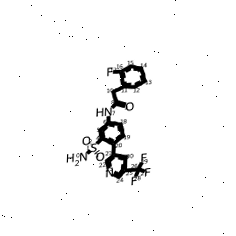 NS(=O)(=O)c1cc(NC(=O)Cc2ccccc2F)ccc1-c1cncc(C(F)(F)F)c1